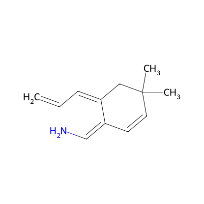 C=C/C=C1/CC(C)(C)C=C/C1=C/N